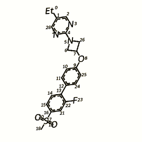 CCc1cnc(N2CC(Oc3ccc(-c4ccc(S(C)(=O)=O)cc4F)cc3)C2)nc1